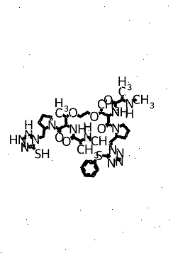 CNC(C)C(=O)NC(C(=O)N1CCCC1CN1NNN=C1S)C(C)OCCOC(C)C(NC(=O)C(C)NC)C(=O)N1CCCC1Cn1nnnc1Sc1ccccc1